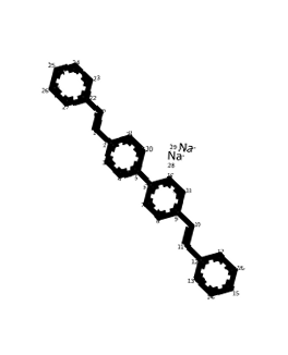 C(=Cc1ccc(-c2ccc(C=Cc3ccccc3)cc2)cc1)c1ccccc1.[Na].[Na]